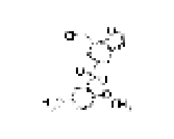 COc1ccc(C)cc1S(=O)(=O)c1cc(CCl)c2occc2c1